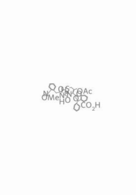 CON=Cc1ccccc1CC(=O)NC1C(=O)N2C(C(=O)OC(c3ccccc3)c3ccccc3C(=O)O)=C(COC(C)=O)CS[C@@H]12